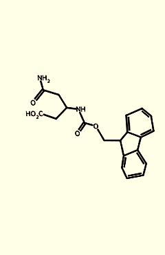 NC(=O)CC(CC(=O)O)NC(=O)OCC1c2ccccc2-c2ccccc21